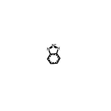 c1ccc2c(c1)N=[N+]=N2